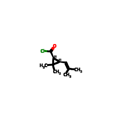 CC(C)=C[C@@H]1[C@H](C(=O)Cl)C1(C)C